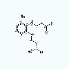 CCC(O)CCNc1cccc(O)c1NCCC(O)CC